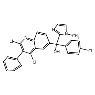 Cn1ccnc1C(O)(c1ccc(Cl)cc1)c1ccc2nc(Cl)c(-c3ccccc3)c(Cl)c2c1